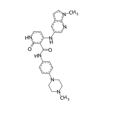 CN1CCN(c2ccc(NC(=O)c3c(Nc4cnc5c(ccn5C)c4)cc[nH]c3=O)cc2)CC1